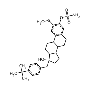 CSc1cc2c(cc1OS(N)(=O)=O)CCC1C2CCC2C1CC[C@@]2(O)Cc1ccc(C(C)(C)C)cc1